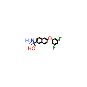 C[C@](N)(CO)c1ccc2cc(Oc3cc(F)cc(F)c3)ccc2c1